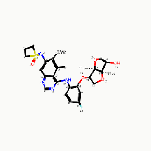 COc1c(N=S2(=O)CCC2)cc2ncnc(Nc3ccc(F)cc3O[C@@H]3CO[C@H]4[C@@H]3OC[C@H]4O)c2c1C